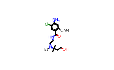 CCN(CCNC(=O)c1cc(Cl)c(N)cc1OC)C(C)(C)CCO